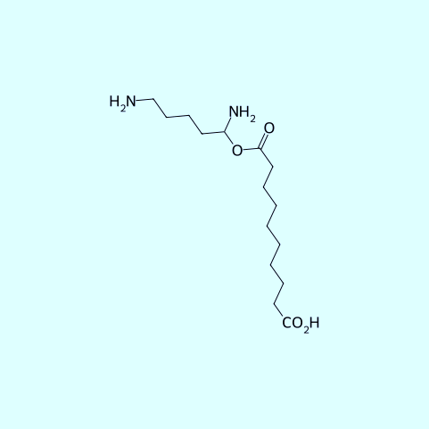 NCCCCC(N)OC(=O)CCCCCCCCC(=O)O